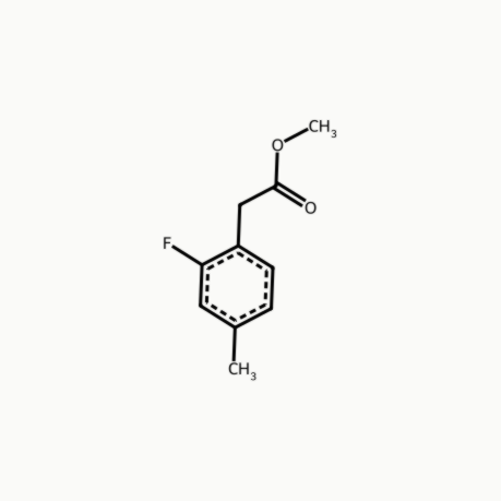 COC(=O)Cc1ccc(C)cc1F